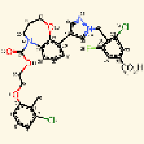 Cc1c(Cl)cccc1OCCOC(=O)N1CCCOc2c(-c3cnn(Cc4c(F)cc(C(=O)O)cc4Cl)c3)cccc21